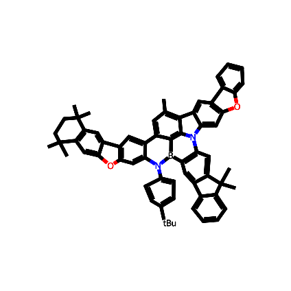 Cc1cc2c3c4c1c1cc5c(cc1n4-c1cc4c(cc1B3N(c1ccc(C(C)(C)C)cc1)c1cc3oc6cc7c(cc6c3cc1-2)C(C)(C)CCC7(C)C)-c1ccccc1C4(C)C)oc1ccccc15